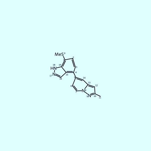 CSc1ccc(-c2ccn3nc(C)cc3c2)c2cn[nH]c12